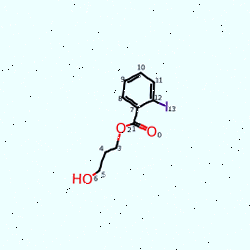 O=C(OCCCO)c1ccccc1I